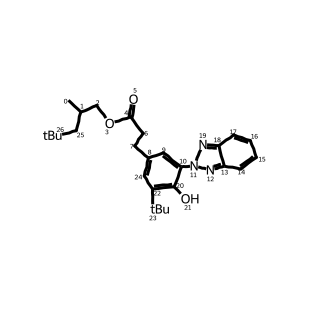 CC(COC(=O)CCc1cc(-n2nc3ccccc3n2)c(O)c(C(C)(C)C)c1)CC(C)(C)C